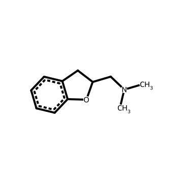 CN(C)CC1Cc2ccccc2O1